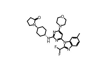 Cc1ccc2nc(C(F)F)n(-c3cc(N4CCOCC4)nc(N[C@H]4CC[C@H](N5CCCC5=O)CC4)n3)c2c1